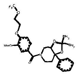 BC1(B)OC2CN(C(=O)c3ccc(OCCOC(F)(F)F)c(OC)c3)CCC2(c2ccccc2)O1